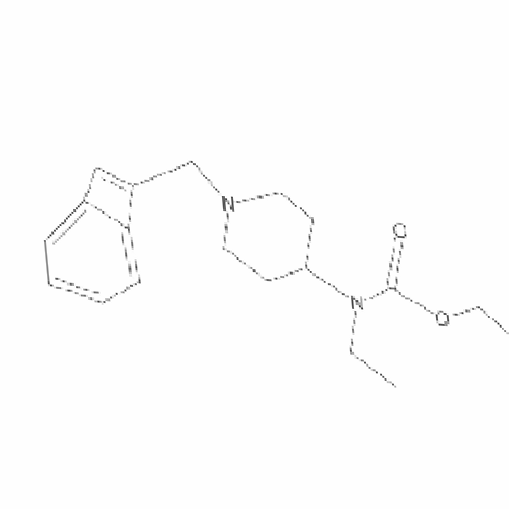 CCOC(=O)N(CC)C1CCN(CC2=Cc3ccccc32)CC1